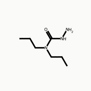 CCCN(CCC)C(=O)NN